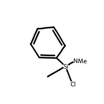 CN[Si](C)(Cl)c1ccccc1